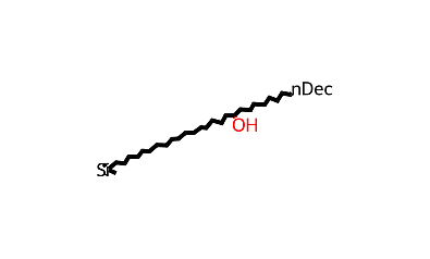 CCCCCCCCCCCCCCCCCCC(O)CCCCCCCCCCCCCCCCC[Si](C)(C)C